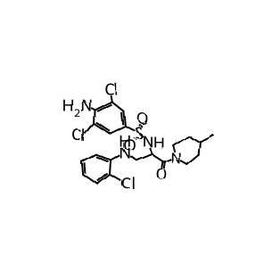 CC1CCN(C(=O)C(CNc2ccccc2Cl)NS(=O)(=O)c2cc(Cl)c(N)c(Cl)c2)CC1